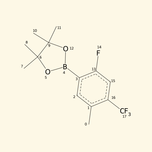 Cc1cc(B2OC(C)(C)C(C)(C)O2)c(F)cc1C(F)(F)F